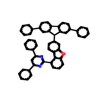 c1ccc(-c2ccc3c(c2)C(c2ccc4c(c2)oc2cccc(-c5nc(-c6ccccc6)cc(-c6ccccc6)n5)c24)c2cc(-c4ccccc4)ccc2-3)cc1